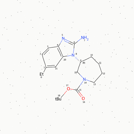 CCc1ccc2nc(N)n([C@@H]3CCCCN(C(=O)OC(C)(C)C)C3)c2c1